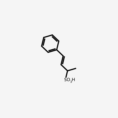 CC(C=Cc1ccccc1)S(=O)(=O)O